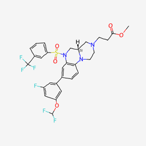 COC(=O)CCN1CCN2c3ccc(-c4cc(F)cc(OC(F)F)c4)cc3N(S(=O)(=O)c3cccc(C(F)(F)F)c3)C[C@@H]2C1